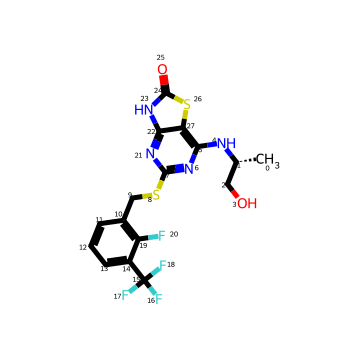 C[C@H](CO)Nc1nc(SCc2cccc(C(F)(F)F)c2F)nc2[nH]c(=O)sc12